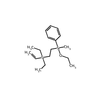 C=C[Si](CC)(CC)CC[Si](C)(OCC)c1ccccc1